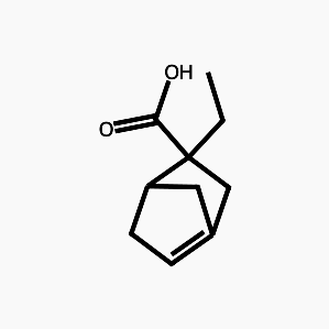 CCC1(C(=O)O)CC2=CCC1C2